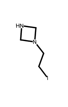 ICCN1CNC1